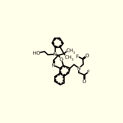 CC1(C)c2ccccc2N(CCO)C12C=Nc1c(c(CN(CC(=O)F)CC(=O)F)cc3ccccc13)O2